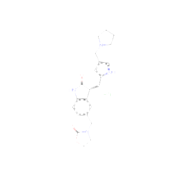 Cl.O=C1Nc2ccc(CN3CCOC3=O)cc2/C1=C/c1cc(CN2CCCC2)c[nH]1